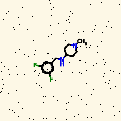 CN1CCC(NCc2cc(F)cc(F)c2)CC1